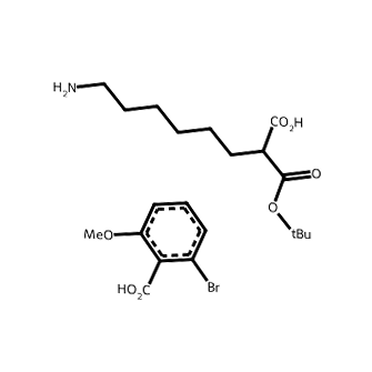 CC(C)(C)OC(=O)C(CCCCCCN)C(=O)O.COc1cccc(Br)c1C(=O)O